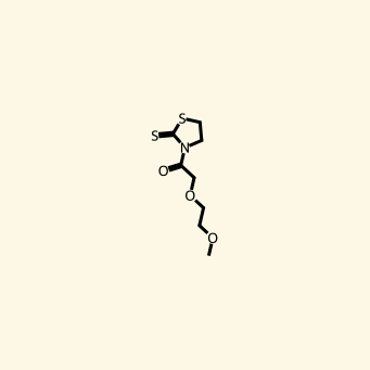 COCCOCC(=O)N1CCSC1=S